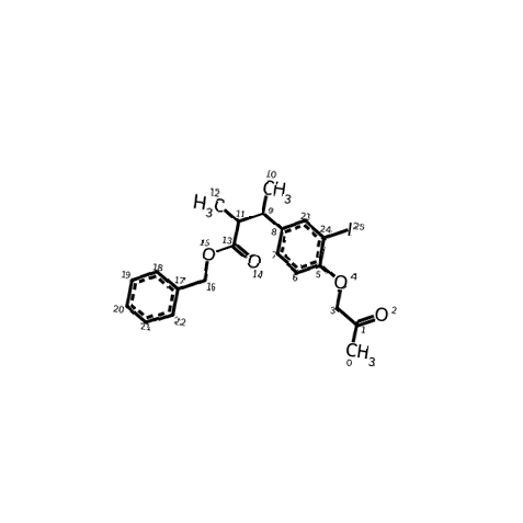 CC(=O)COc1ccc(C(C)C(C)C(=O)OCc2ccccc2)cc1I